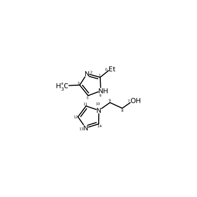 CCc1nc(C)c[nH]1.OCCn1ccnc1